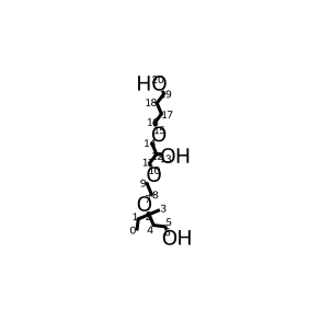 CCC(C)(CCO)OCCOCC(O)COCCCCO